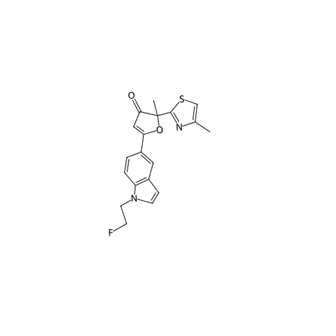 Cc1csc(C2(C)OC(c3ccc4c(ccn4CCF)c3)=CC2=O)n1